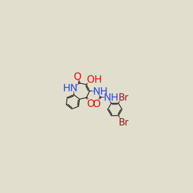 O=C(Nc1ccc(Br)cc1Br)Nc1c(O)c(=O)[nH]c2ccccc2c1=O